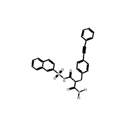 CCN(CC)C(=O)C(Cc1ccc(C#Cc2ccccc2)cc1)C(=O)NS(=O)(=O)c1ccc2ccccc2c1